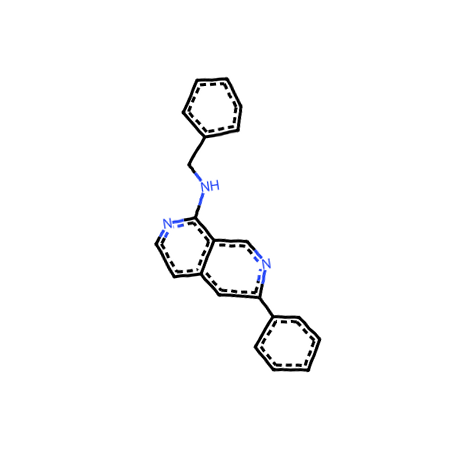 c1ccc(CNc2nccc3cc(-c4ccccc4)ncc23)cc1